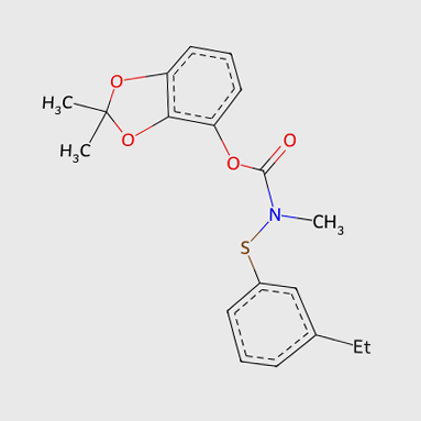 CCc1cccc(SN(C)C(=O)Oc2cccc3c2OC(C)(C)O3)c1